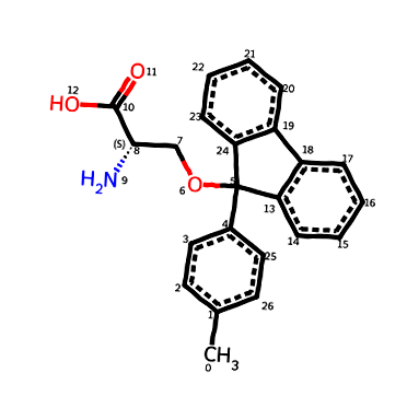 Cc1ccc(C2(OC[C@H](N)C(=O)O)c3ccccc3-c3ccccc32)cc1